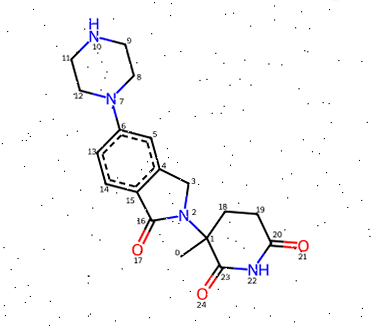 CC1(N2Cc3cc(N4CCNCC4)ccc3C2=O)CCC(=O)NC1=O